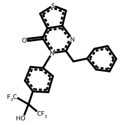 O=c1c2cscc2nc(Cc2ccccc2)n1-c1ccc(C(O)(C(F)(F)F)C(F)(F)F)cc1